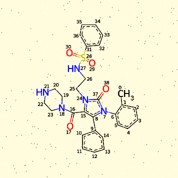 Cc1ccccc1-n1c(-c2ccccc2)c(C(=O)N2CCNCC2)n(CCNS(=O)(=O)c2ccccc2)c1=O